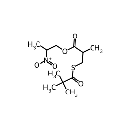 CC(CSC(=O)C(C)(C)C)C(=O)OCC(C)[N+](=O)[O-]